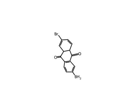 Bc1ccc2c(c1)C(=O)C1C=CC(Br)=CC1C2=O